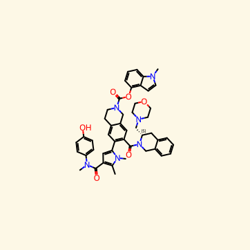 Cc1c(C(=O)N(C)c2ccc(O)cc2)cc(-c2cc3c(cc2C(=O)N2Cc4ccccc4C[C@H]2CN2CCOCC2)CN(C(=O)Oc2cccc4c2ccn4C)CC3)n1C